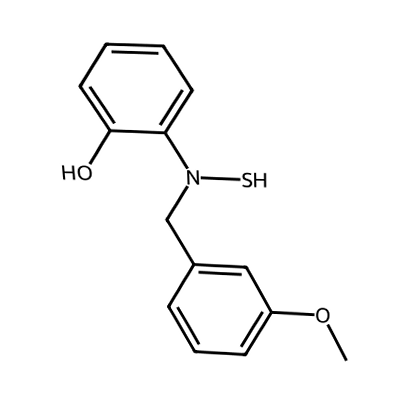 COc1cccc(CN(S)c2ccccc2O)c1